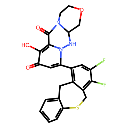 O=C1c2c(O)c(=O)cc(-c3cc(F)c(F)c4c3Cc3ccccc3SC4)n2NC2COCCN12